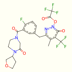 Cc1c(Cc2ccc(F)c(C(=O)N3CCN(C4CCOC4)C(=O)C3)c2)nn(OC(=O)C(F)(F)F)c(=O)c1C(F)(F)F